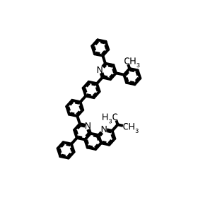 Cc1ccccc1-c1cc(-c2ccccc2)nc(-c2ccc(-c3cccc(-c4cc(-c5ccccc5)c5ccc6ccc(C(C)C)nc6c5n4)c3)cc2)c1